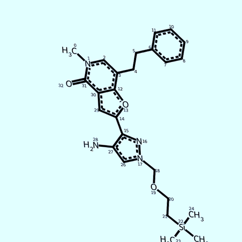 Cn1cc(CCc2ccccc2)c2oc(-c3nn(COCC[Si](C)(C)C)cc3N)cc2c1=O